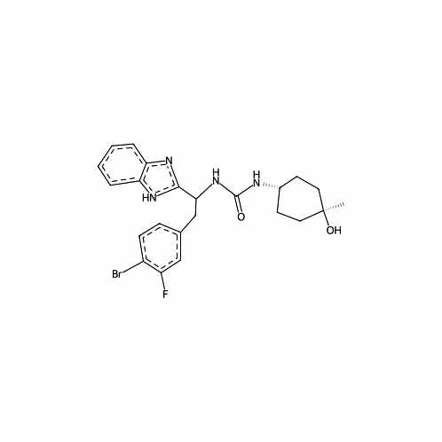 C[C@]1(O)CC[C@H](NC(=O)NC(Cc2ccc(Br)c(F)c2)c2nc3ccccc3[nH]2)CC1